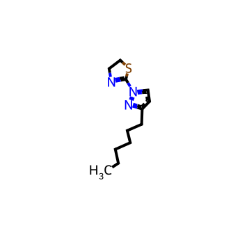 CCCCCCc1ccn(C2=NCCS2)n1